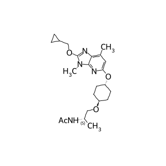 CC(=O)N[C@@H](C)CO[C@H]1CC[C@H](Oc2cc(C)c3nc(OCC4CC4)n(C)c3n2)CC1